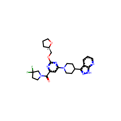 O=C(c1cc(N2CCC(c3n[nH]c4ncccc34)CC2)nc(OC[C@H]2CCCO2)n1)N1CCC(F)(F)C1